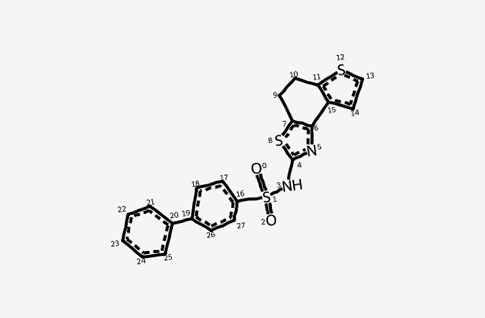 O=S(=O)(Nc1nc2c(s1)CCc1sccc1-2)c1ccc(-c2ccccc2)cc1